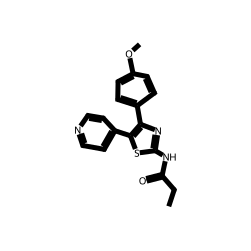 CCC(=O)Nc1nc(-c2ccc(OC)cc2)c(-c2ccncc2)s1